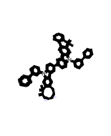 C=C1/C=C\C=C/Cc2cc3c4cc(-c5ccc6c(c5)c5cc7c(cc5n6-c5cccc(-c6ccccc6)c5)C(C)(C)c5ccccc5-7)ccc4n(-c4cccc(-c5ccccc5)c4)c3cc2C1(C)C